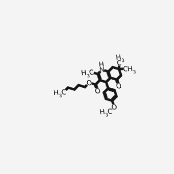 CCCCCOC(=O)C1=C(C)NC2=C(C(=O)CC(C)(C)C2)C1c1ccc(OC)cc1